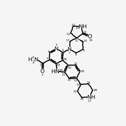 NC(=O)c1cnc(N2CCC[C@]3(CCNC3=O)C2)c2c1[nH]c1cc(C3CCNCC3)ccc12